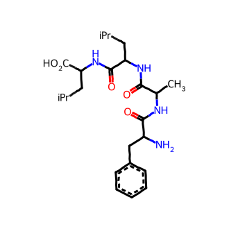 CC(C)CC(NC(=O)C(CC(C)C)NC(=O)C(C)NC(=O)C(N)Cc1ccccc1)C(=O)O